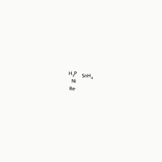 P.[Ni].[Re].[SnH4]